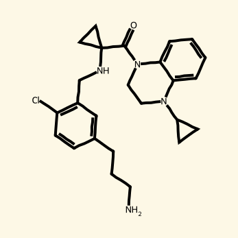 NCCCc1ccc(Cl)c(CNC2(C(=O)N3CCN(C4CC4)c4ccccc43)CC2)c1